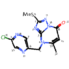 CSc1nc2n(Cc3cnc(Cl)cn3)c(C)cc(=O)n2n1